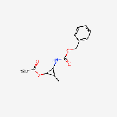 CCCCC(=O)OC1C(C)C1NC(=O)OCc1ccccc1